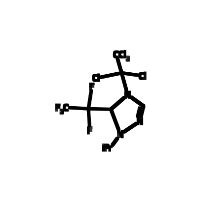 CC(C)N1N=CN(C(Cl)(Cl)C(Cl)(Cl)Cl)C1C(F)(F)C(F)(F)F